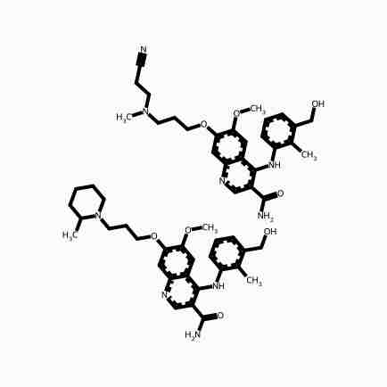 COc1cc2c(Nc3cccc(CO)c3C)c(C(N)=O)cnc2cc1OCCCN(C)CCC#N.COc1cc2c(Nc3cccc(CO)c3C)c(C(N)=O)cnc2cc1OCCCN1CCCCC1C